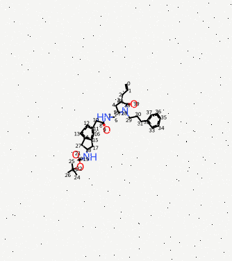 C=CC[C@@H]1C[C@@H](CNC(=O)Cc2ccc3c(c2)CC(NC(=O)OC(C)(C)C)C3)N(CCCc2ccccc2)C1=O